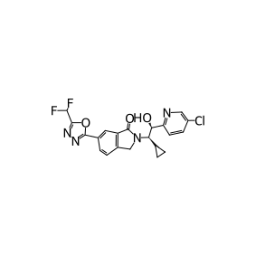 O=C1c2cc(-c3nnc(C(F)F)o3)ccc2CN1[C@H](C1CC1)[C@@H](O)c1ccc(Cl)cn1